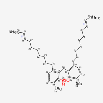 CCCCCC/C=C/CCCCCCCc1ccc(C(C)(C)C)c(O)c1Cc1c(CCCCCCC/C=C/CCCCCC)ccc(C(C)(C)C)c1O